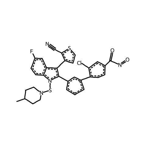 CC1CCN(Sn2c(-c3cccc(-c4ccc(C(=O)N=O)cc4Cl)c3)c(-c3ccsc3C#N)c3cc(F)ccc32)CC1